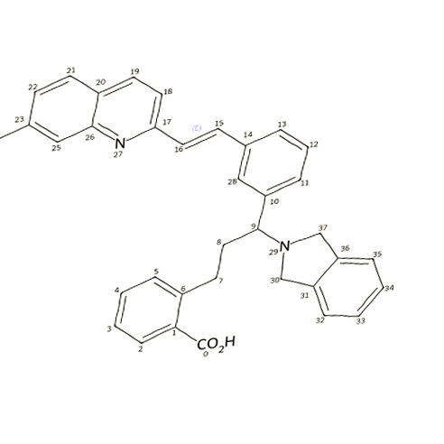 O=C(O)c1ccccc1CCC(c1cccc(/C=C/c2ccc3ccc(Cl)cc3n2)c1)N1Cc2ccccc2C1